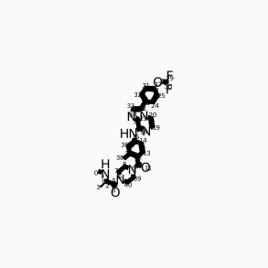 CN[C@H](C)C(=O)N1CCN(C(=O)c2ccc(Nc3nccn4c(-c5ccc(OC(F)F)cc5)cnc34)cc2C)CC1